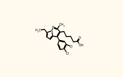 CCc1ccc2c(-c3ccc(Cl)c(Cl)c3)c(CCCCC(=O)O)c(C)nn12